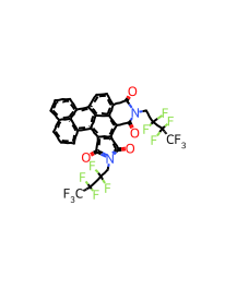 O=C1c2ccc3c4cccc5cccc(c54)c4c5c(=O)n(CC(F)(F)C(F)(F)C(F)(F)F)c(=O)c5c(c2c34)C(=O)N1CC(F)(F)C(F)(F)C(F)(F)F